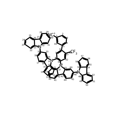 N#Cc1cccc(-c2cc(-n3c4ccccc4c4ccc(-n5c6ccccc6c6ccccc65)cc43)c(-n3c4ccccc4c4ccc(-n5c6ccccc6c6ccccc65)cc43)cc2C(F)(F)F)c1